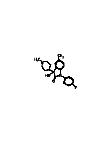 Cc1ccc2c(c1)C(O)(C1CCN(C)CC1)C(=O)N2c1ccc(F)cc1